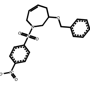 O=[N+]([O-])c1ccc(S(=O)(=O)N2CC=CCC(OCc3ccccc3)C2)cc1